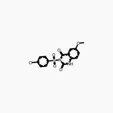 COc1ccc2[nH]c(=O)n(S(=O)(=O)c3ccc(Cl)cc3)c(=O)c2c1